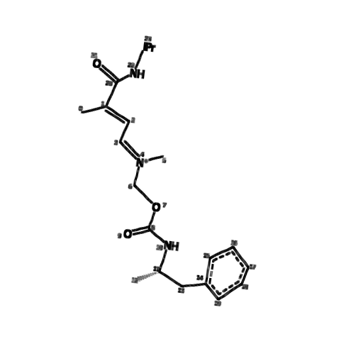 C/C(=C\C=[N+](/C)COC(=O)N[C@@H](C)Cc1ccccc1)C(=O)NC(C)C